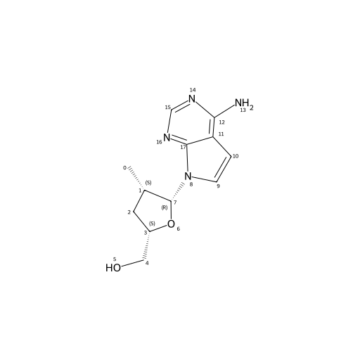 C[C@H]1C[C@@H](CO)O[C@H]1n1ccc2c(N)ncnc21